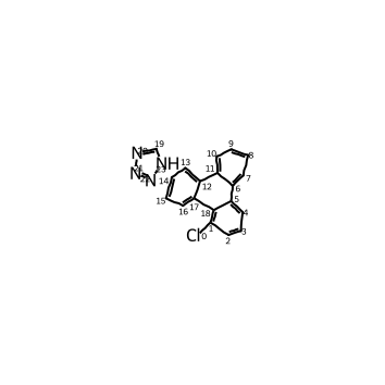 Clc1cccc2c3ccccc3c3ccccc3c12.c1nnn[nH]1